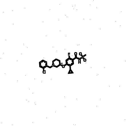 CS(=O)(=O)NC(=O)c1cc(C2CC2)c(O[C@@H]2CCCN(Cc3ccccc3Cl)C2)cc1F